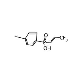 Cc1ccc(P(=O)(O)C=CC(F)(F)F)cc1